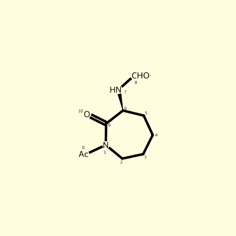 CC(=O)N1CCCC[C@H](N[C]=O)C1=O